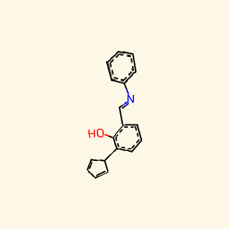 Oc1c(/C=N/c2ccccc2)cccc1C1C=CC=C1